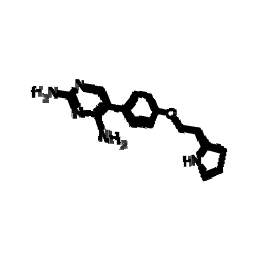 Nc1ncc(-c2ccc(OCCC3CCCN3)cc2)c(N)n1